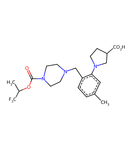 Cc1ccc(CN2CCN(C(=O)OC(C)C(F)(F)F)CC2)c(N2CCC(C(=O)O)C2)c1